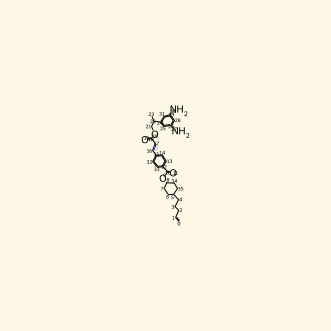 C=CCCCC1CCC(OC(=O)c2ccc(/C=C/C(=O)OCC(C)c3cc(N)cc(N)c3)cc2)CC1